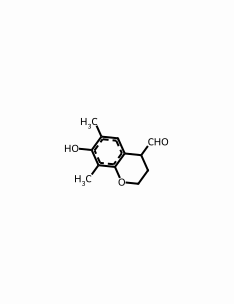 Cc1cc2c(c(C)c1O)OCCC2C=O